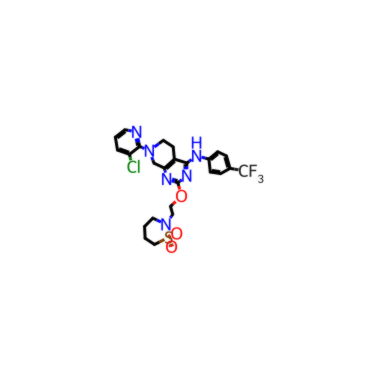 O=S1(=O)CCCCN1CCOc1nc2c(c(Nc3ccc(C(F)(F)F)cc3)n1)CCN(c1ncccc1Cl)C2